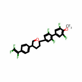 FC(F)=C(F)c1ccc(C2CCC(c3cc(F)c(-c4cc(F)c(OC(F)(F)F)c(F)c4)c(F)c3)OC2)cc1